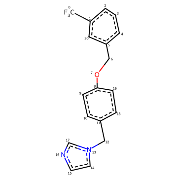 FC(F)(F)c1cccc(COc2ccc(Cn3ccnc3)cc2)c1